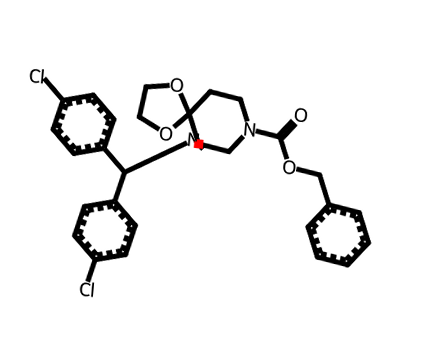 O=C(OCc1ccccc1)N1CCC2(OCCO2)C2(CCN(C(c3ccc(Cl)cc3)c3ccc(Cl)cc3)C2)C1